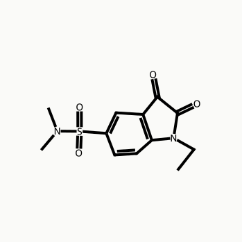 CCN1C(=O)C(=O)c2cc(S(=O)(=O)N(C)C)ccc21